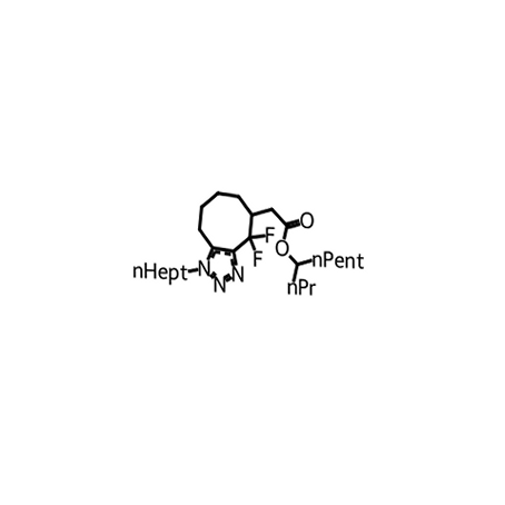 CCCCCCCn1nnc2c1CCCCC(CC(=O)OC(CCC)CCCCC)C2(F)F